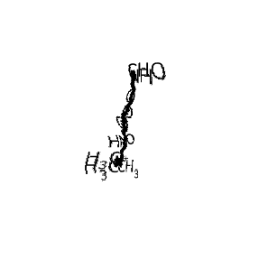 C[N+](C)(C)CCCNC(=O)CCOCCOCCOCCNC=O